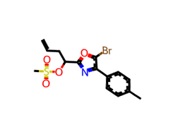 C=CCC(OS(C)(=O)=O)c1nc(-c2ccc(C)cc2)c(Br)o1